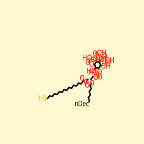 CCCCCCCCCCCCCCCC(=O)O[C@H](COC(=O)CCCCCCCCCCCCCCCS)COP(=O)(O)OC1C(O)[C@@H](OP(=O)(O)O)C(OP(=O)(O)O)[C@@H](OP(=O)(O)O)[C@H]1O